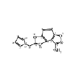 Nc1noc2ccc3c(c12)OC(Cn1cccn1)O3